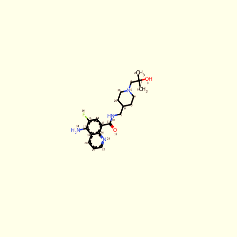 CC(C)(O)CN1CCC(CNC(=O)c2cc(F)c(N)c3cccnc23)CC1